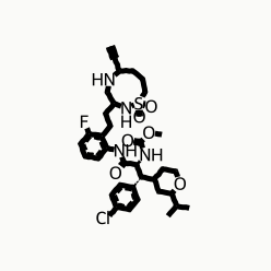 C#CC1CCCS(=O)(=O)NC(CCc2c(F)cccc2NC(=O)[C@@H](NC(=O)OC)[C@@H](c2ccc(Cl)cc2)C2CCOC(C(C)C)C2)CN1